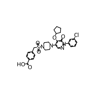 O=C(O)c1ccc(CS(=O)(=O)N2CCN(c3cnn(-c4cccc(Cl)c4)c(=O)c3OC3CCCC3)CC2)cc1